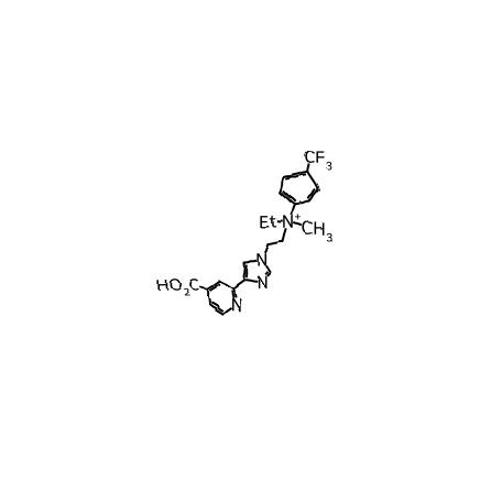 CC[N+](C)(CCn1cnc(-c2cc(C(=O)O)ccn2)c1)c1ccc(C(F)(F)F)cc1